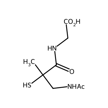 CC(=O)NCC(C)(S)C(=O)NCC(=O)O